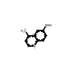 CNc1ccc2nccc(C)c2c1